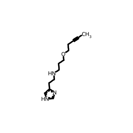 CC#CCCOCCCNCCc1c[nH]cn1